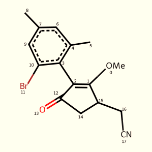 COC1=C(c2c(C)cc(C)cc2Br)C(=O)CC1CC#N